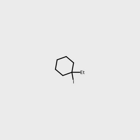 CCC1(I)CCCCC1